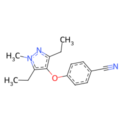 CCc1nn(C)c(CC)c1Oc1ccc(C#N)cc1